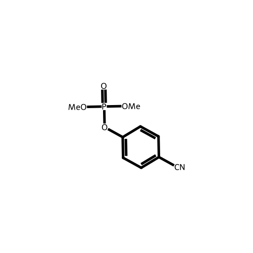 COP(=O)(OC)Oc1ccc(C#N)cc1